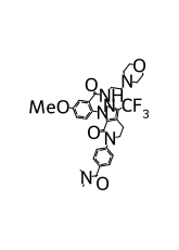 COc1ccc(-n2nc(C(F)(F)F)c3c2C(=O)N(c2ccc(C(=O)N(C)C)cc2)CC3)c(C(=O)NCCN2CCOCC2)c1